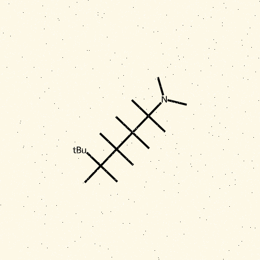 CN(C)C(C)(C)C(C)(C)C(C)(C)C(C)(C)C(C)(C)C